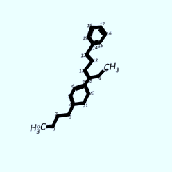 CCCCC1CC=C(C(CC)CCCc2ccccc2)CC1